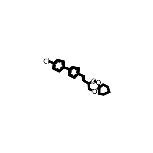 Clc1ccc(-c2ccc(C=CC3COC4(CCCCC4)OO3)cc2)cc1